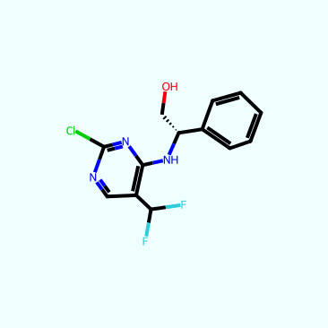 OC[C@@H](Nc1nc(Cl)ncc1C(F)F)c1ccccc1